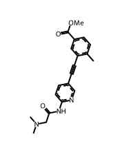 COC(=O)c1ccc(C)c(C#Cc2ccc(NC(=O)CN(C)C)nc2)c1